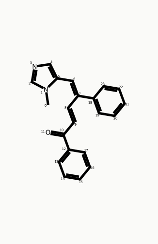 Cn1cncc1C=C(C=CC(=O)c1ccccc1)c1ccccc1